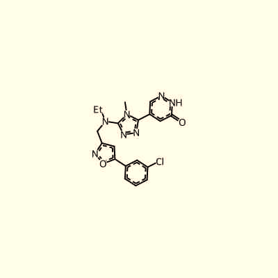 CCN(Cc1cc(-c2cccc(Cl)c2)on1)c1nnc(-c2cn[nH]c(=O)c2)n1C